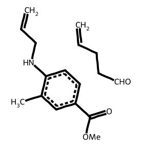 C=CCCC=O.C=CCNc1ccc(C(=O)OC)cc1C